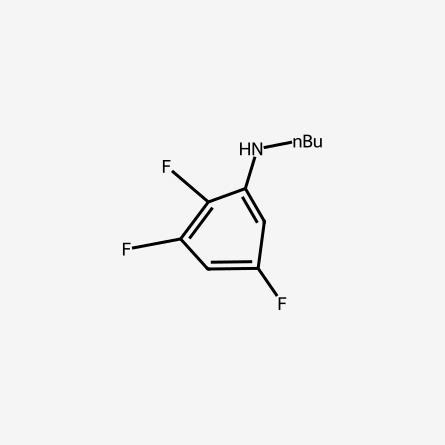 CCCCNc1cc(F)cc(F)c1F